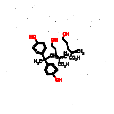 C=C(CCCO)C(=O)O.C=C(CCCO)C(=O)O.CC(C)(c1ccc(O)cc1)c1ccc(O)cc1